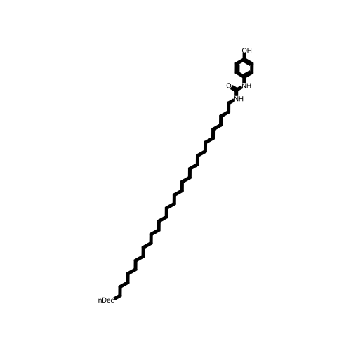 CCCCCCCCCCCCCCCCCCCCCCCCCCCCCCCCCCCCCCCCNC(=O)Nc1ccc(O)cc1